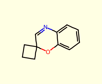 C1=Nc2ccccc2OC12CCC2